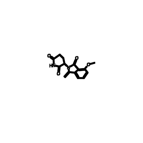 C=C1c2cccc(OC)c2C(=O)N1C1CCC(=O)NC1=O